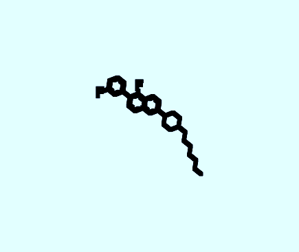 CCCCCCCC1CCC(c2ccc3c(F)c(-c4cccc(F)c4)ccc3c2)CC1